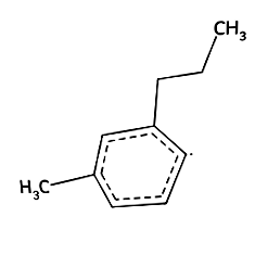 CCCc1[c]ccc(C)c1